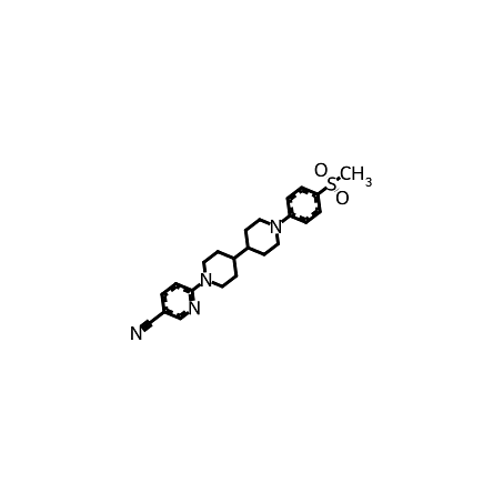 CS(=O)(=O)c1ccc(N2CCC(C3CCN(c4ccc(C#N)cn4)CC3)CC2)cc1